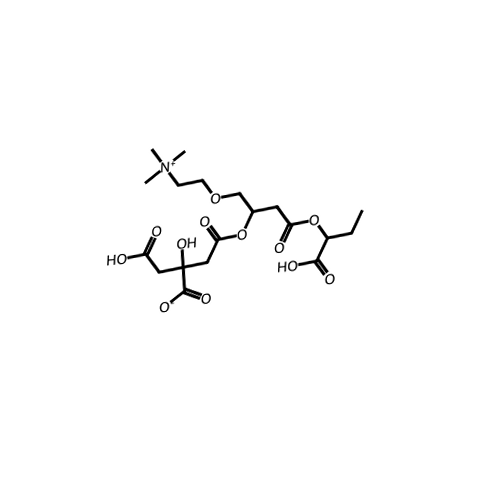 CCC(OC(=O)CC(COCC[N+](C)(C)C)OC(=O)CC(O)(CC(=O)O)C(=O)[O-])C(=O)O